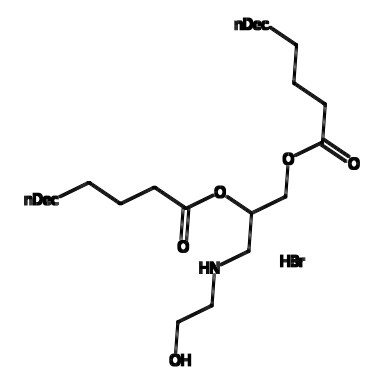 Br.CCCCCCCCCCCCCC(=O)OCC(CNCCO)OC(=O)CCCCCCCCCCCCC